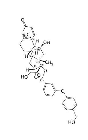 C[C@]12C=CC(=O)C=C1CC[C@@H]1[C@@H]2[C@@H](O)C[C@@]2(C)[C@H]1C[C@H]1O[C@@H](c3cccc(Oc4ccc(CO)cc4)c3)O[C@]12C(=O)CO